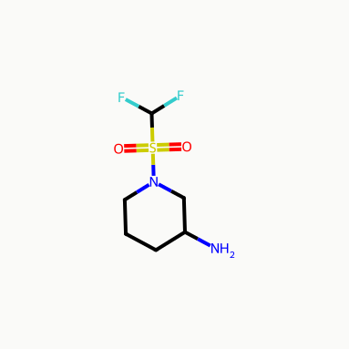 NC1CCCN(S(=O)(=O)C(F)F)C1